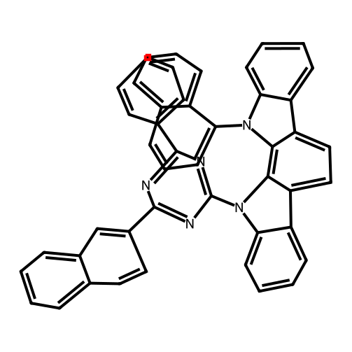 c1ccc(-c2nc(-c3ccc4ccccc4c3)nc(-n3c4ccccc4c4ccc5c6ccccc6n(-c6cccc7ccccc67)c5c43)n2)cc1